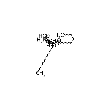 CCCCC/C=C\C/C=C\C/C=C\CCCCCCC(=O)OC[C@H](COP(=O)(O)OC[C@H](N)C(=O)O)OC(=O)CCCCCCCCCCCCCCCCCCC